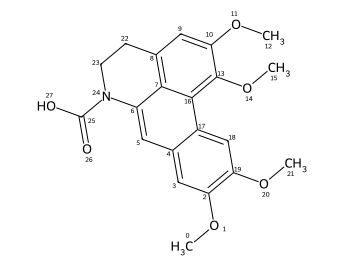 COc1cc2cc3c4c(cc(OC)c(OC)c4c2cc1OC)CCN3C(=O)O